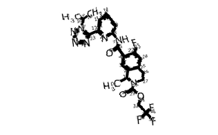 CC1c2cc(C(=O)Nc3cccc(-c4nnnn4C(C)C)n3)c(F)cc2CCN1C(=O)OCC(F)(F)F